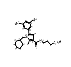 Cc1c(C(=O)NCCCC(=O)O)cc(-c2cc(C(C)(C)C)cc(C(C)(C)C)c2)n1CC1CCCCC1